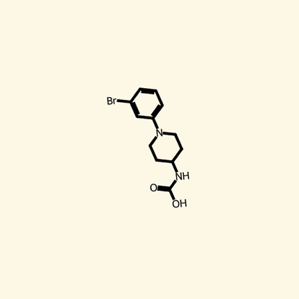 O=C(O)NC1CCN(c2cccc(Br)c2)CC1